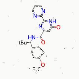 CC(C)(C)[C@@H](NC(=O)c1cc(=O)[nH]c(-c2ncccn2)n1)c1ccc(OC(F)(F)F)cc1